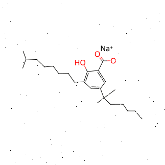 CCCCCC(C)(C)c1cc(CCCCCCC(C)C)c(O)c(C(=O)[O-])c1.[Na+]